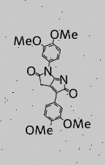 COc1ccc(C2=C3CC(=O)N(c4ccc(OC)c(OC)c4)C3=NC2=O)cc1OC